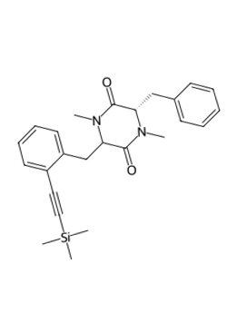 CN1C(=O)[C@H](Cc2ccccc2)N(C)C(=O)C1Cc1ccccc1C#C[Si](C)(C)C